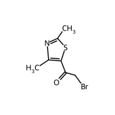 Cc1nc(C)c(C(=O)CBr)s1